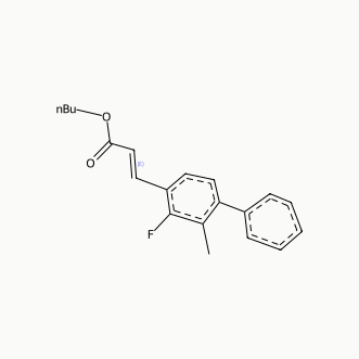 CCCCOC(=O)/C=C/c1ccc(-c2ccccc2)c(C)c1F